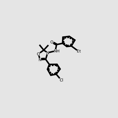 CCc1cccc(C(=O)NN2C(c3ccc(Cl)cc3)=NOC2(C)C)c1